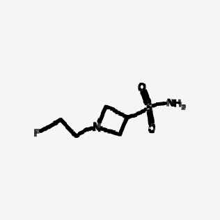 NS(=O)(=O)C1CN(CCF)C1